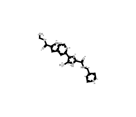 CCOC(=O)c1cc2cc(-c3nc(C(=O)NCc4ccncc4)[nH]c3C)ncc2[nH]1